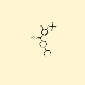 CCC(CC)N1CCN(C(=O)c2ccc(OC(F)(F)F)c(Cl)c2)CC1.Cl